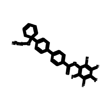 CCCCCOC1(c2ccc(-c3ccc(C(=O)Oc4c(F)c(F)c(F)c(F)c4F)cc3)cc2)C=CC=CC1